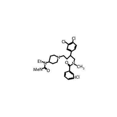 CCN(C(=O)NC)C1CCN(CCC(CN(C)C(=O)c2ccccc2)c2ccc(Cl)c(Cl)c2)CC1.Cl